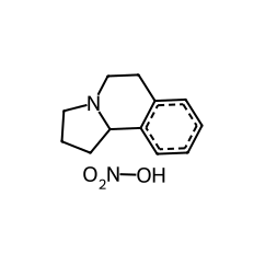 O=[N+]([O-])O.c1ccc2c(c1)CCN1CCCC21